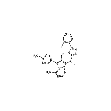 CC(c1cn(-c2ccccc2F)nn1)n1c(C#N)c(-c2cnc(C(F)(F)F)nc2)c2c(N)ncnc21